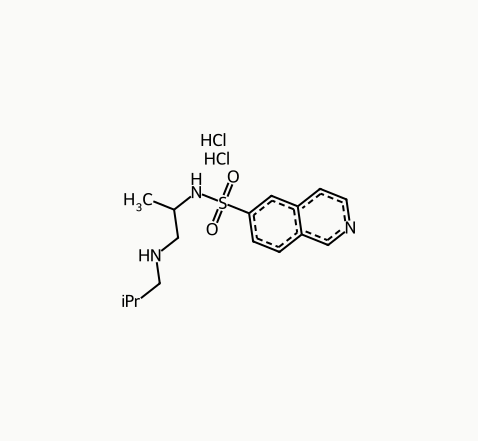 CC(C)CNCC(C)NS(=O)(=O)c1ccc2cnccc2c1.Cl.Cl